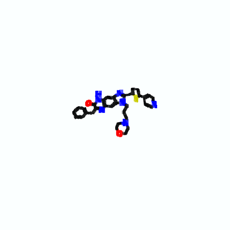 O=c1[nH]c2cc3nc(-c4ccc(-c5ccncc5)s4)n(CCCN4CCOCC4)c3cc2nc1Cc1ccccc1